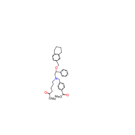 COC(=O)CCCCN(Cc1ccc(C(=O)OC)cc1)CC(OCc1ccc2c(c1)CCCC2)c1ccccc1